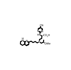 CO[C@H](C)CN(CCCCc1ccc2c(n1)NCCC2)CC[C@H](Nc1ncc(C#N)cn1)C(=O)O